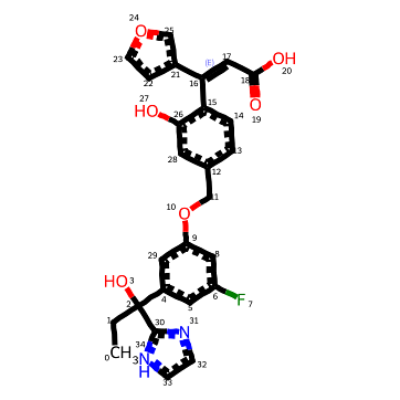 CCC(O)(c1cc(F)cc(OCc2ccc(/C(=C\C(=O)O)c3ccoc3)c(O)c2)c1)c1ncc[nH]1